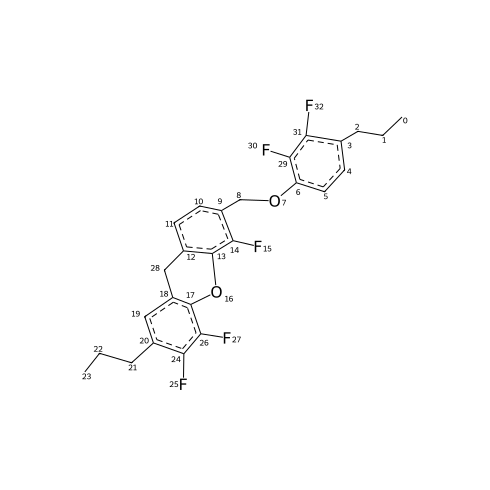 CCCc1ccc(OCc2ccc3c(c2F)Oc2c(cc(CCC)c(F)c2F)C3)c(F)c1F